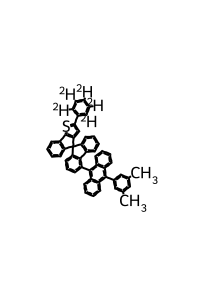 [2H]c1c([2H])c([2H])c(-c2cc3c(s2)-c2ccccc2C32c3ccccc3-c3c(-c4c5ccccc5c(-c5cc(C)cc(C)c5)c5ccccc45)cccc32)c([2H])c1[2H]